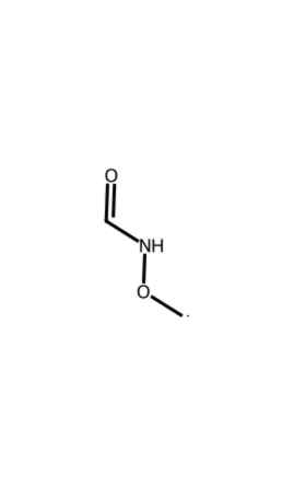 [CH2]ONC=O